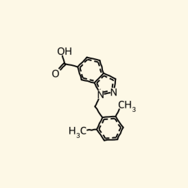 Cc1cccc(C)c1Cn1ncc2ccc(C(=O)O)cc21